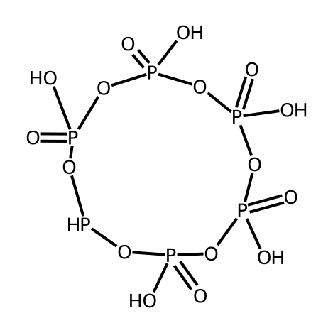 O=P1(O)OPOP(=O)(O)OP(=O)(O)OP(=O)(O)OP(=O)(O)O1